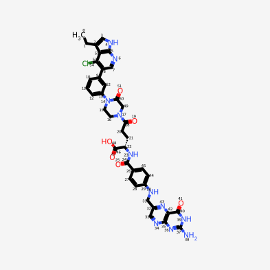 CCc1c[nH]c2ncc(-c3cccc(N4CCN(C(=O)CC[C@H](NC(=O)c5ccc(NCc6cnc7nc(N)[nH]c(=O)c7n6)cc5)C(=O)O)CC4=O)c3)c(Cl)c12